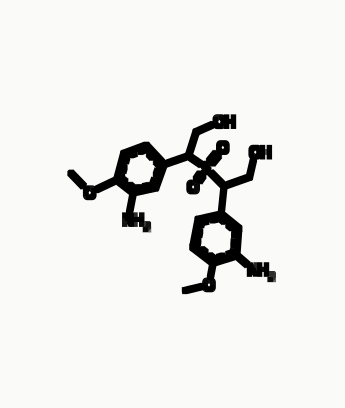 COc1ccc(C(CO)S(=O)(=O)C(CO)c2ccc(OC)c(N)c2)cc1N